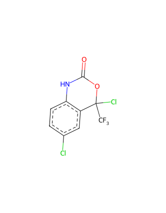 O=C1Nc2ccc(Cl)cc2C(Cl)(C(F)(F)F)O1